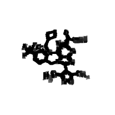 Cc1noc(C)c1-c1nc2nc(C(=O)O)nc(N[C@H](C)C3CCC3)c2n1Cc1ccc(C(F)(F)F)cc1